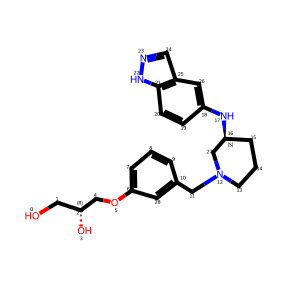 OC[C@@H](O)COc1cccc(CN2CCC[C@H](Nc3ccc4[nH]ncc4c3)C2)c1